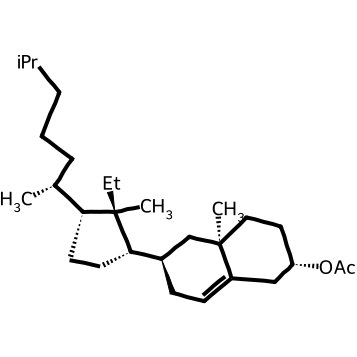 CC[C@]1(C)[C@@H]([C@H](C)CCCC(C)C)CC[C@H]1[C@@H]1CC=C2C[C@@H](OC(C)=O)CC[C@]2(C)C1